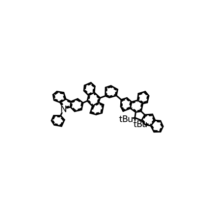 CC(C)(C)C1(C(C)(C)C)c2cc3ccccc3cc2-c2c1c1ccc(-c3cccc(-c4c5ccccc5c(-c5ccc6c(c5)c5ccccc5n6-c5ccccc5)c5ccccc45)c3)cc1c1ccccc21